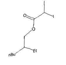 CCCCC(CC)COC(=O)C(C)I